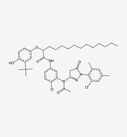 CCCCCCCCCCCCC(Oc1ccc(O)c(C(C)(C)C)c1)C(=O)Nc1ccc(Cl)c(N(C(C)=O)C2=NN(c3c(C)cc(C)cc3Cl)C(=O)C2)c1